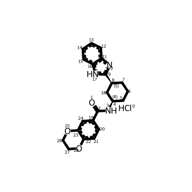 Cl.O=C(N[C@@H]1CCC[C@H](c2nc3ccccc3[nH]2)C1)c1ccc2c(c1)OCCO2